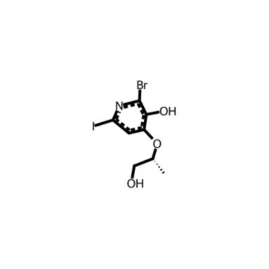 C[C@H](CO)Oc1cc(I)nc(Br)c1O